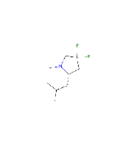 CC(C)C[C@H]1CC(F)(F)CN1C